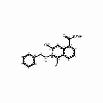 COC(=O)c1cccc2c(F)c(OCc3ccccc3)c(Cl)cc12